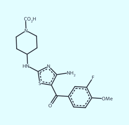 COc1ccc(C(=O)c2sc(NC3CCN(C(=O)O)CC3)nc2N)cc1F